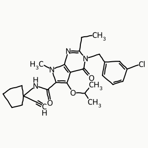 C#CC1(NC(=O)c2c(OC(C)C)c3c(=O)n(Cc4cccc(Cl)c4)c(CC)nc3n2C)CCCCC1